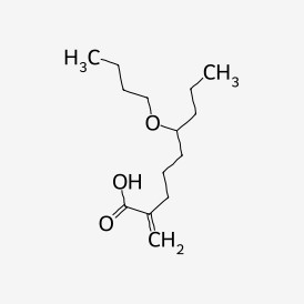 C=C(CCCC(CCC)OCCCC)C(=O)O